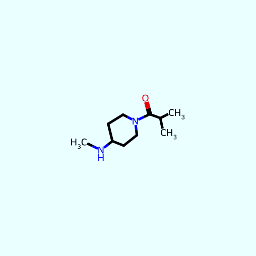 CNC1CCN(C(=O)C(C)C)CC1